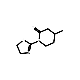 CC1CCN(C2=NCCS2)C(=O)C1